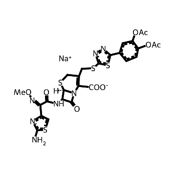 CO/N=C(\C(=O)N[C@@H]1C(=O)N2C(C(=O)[O-])=C(CSc3nnc(-c4ccc(OC(C)=O)c(OC(C)=O)c4)s3)CS[C@H]12)c1csc(N)n1.[Na+]